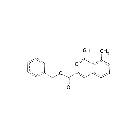 Cc1cccc(C=CC(=O)OCc2ccccc2)c1C(=O)O